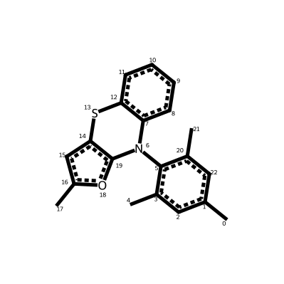 Cc1cc(C)c(N2c3ccccc3Sc3cc(C)oc32)c(C)c1